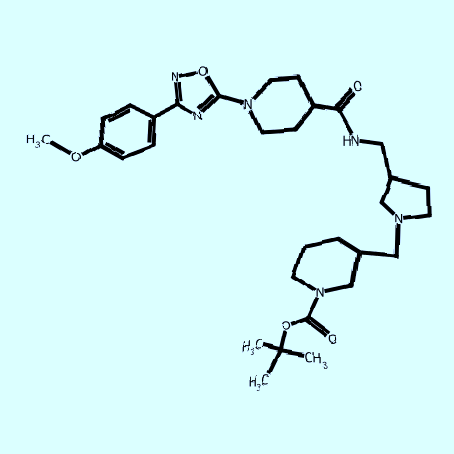 COc1ccc(-c2noc(N3CCC(C(=O)NCC4CCN(CC5CCCN(C(=O)OC(C)(C)C)C5)C4)CC3)n2)cc1